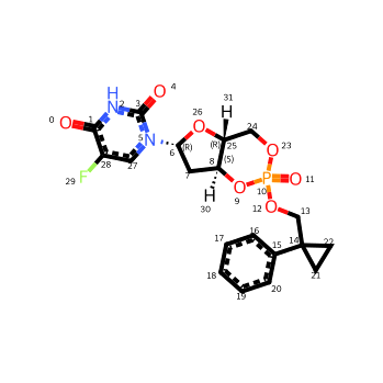 O=c1[nH]c(=O)n([C@H]2C[C@@H]3OP(=O)(OCC4(c5ccccc5)CC4)OC[C@H]3O2)cc1F